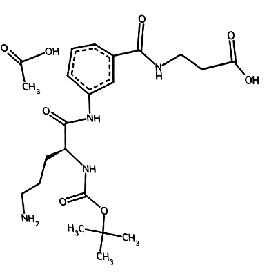 CC(=O)O.CC(C)(C)OC(=O)N[C@@H](CCCN)C(=O)Nc1cccc(C(=O)NCCC(=O)O)c1